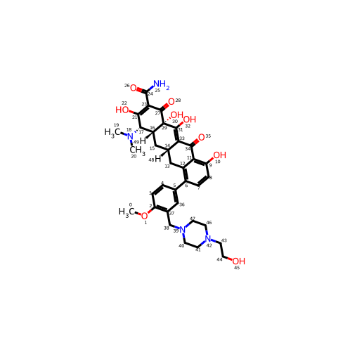 COc1ccc(-c2ccc(O)c3c2C[C@@H]2C[C@@H]4[C@H](N(C)C)C(O)=C(C(N)=O)C(=O)[C@@]4(O)C(O)=C2C3=O)cc1CN1CCN(CCO)CC1